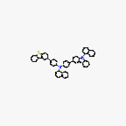 c1ccc2c(N(c3ccc(-c4ccc5sc6ccccc6c5c4)cc3)c3ccc(-c4ccc5c(c4)c4ccccc4n5-c4cccc5ccccc45)cc3)cccc2c1